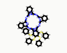 c1ccc(Sc2c(Sc3ccccc3)c(Sc3ccccc3)c3c4nc5nc(nc6[nH]c(nc7nc(nc([nH]4)c3c2Sc2ccccc2)-c2ccccc2-7)c2ccccc62)-c2ccccc2-5)cc1